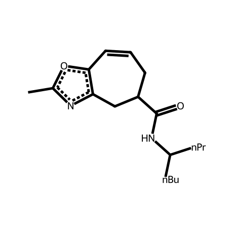 CCCCC(CCC)NC(=O)C1CC=Cc2oc(C)nc2C1